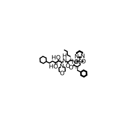 CCCC[C@H](NC(=O)[C@H](Cc1ccccc1)CS(=O)(=O)c1ncccn1)C(=O)NC([C@H](O)[C@H](O)CCC1CCCCC1)N1CCOCC1